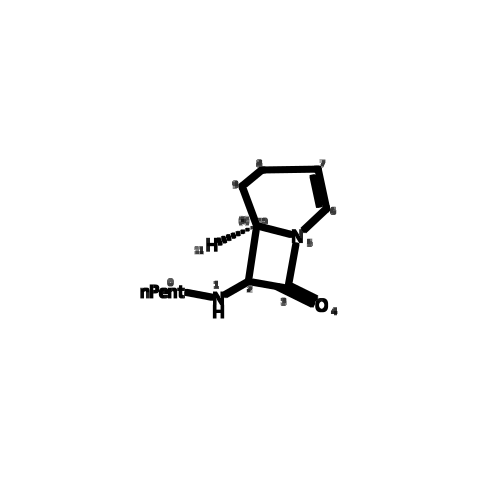 CCCCCNC1C(=O)N2C=CCC[C@H]12